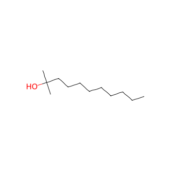 CCCCCCCCCC(C)(C)O